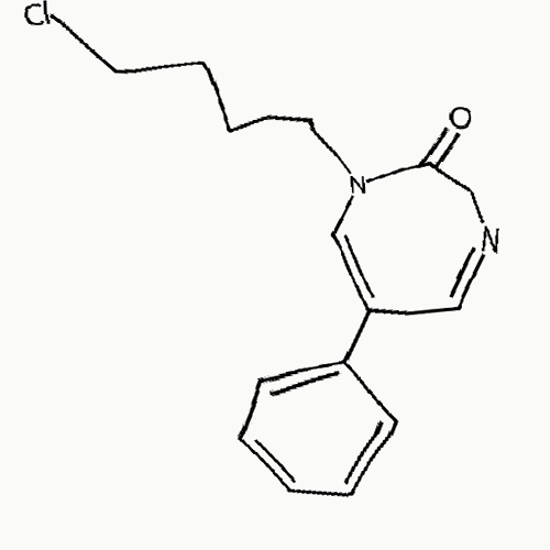 O=c1ncc(-c2ccccc2)cn1CCCCCl